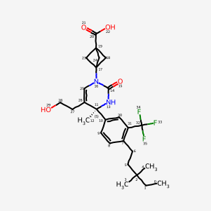 CCC(C)(C)CCc1ccc([C@]2(C)NC(=O)N(C34CC(C(=O)O)(C3)C4)C=C2CCO)cc1C(F)(F)F